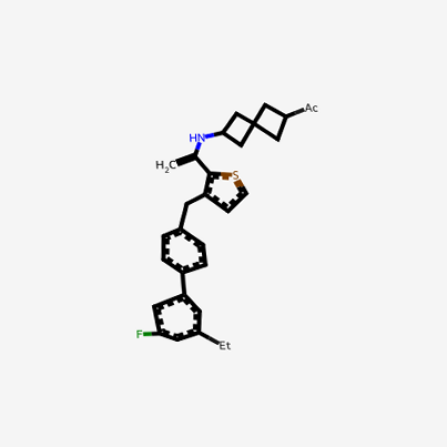 C=C(NC1CC2(C1)CC(C(C)=O)C2)c1sccc1Cc1ccc(-c2cc(F)cc(CC)c2)cc1